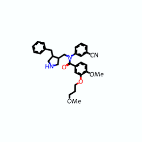 COCCCOc1cc(C(=O)N(CC2CNCC2Cc2ccccc2)c2cccc(C#N)c2)ccc1OC